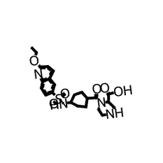 CCOc1ccc2cc(S(=O)(=O)NC3CCC(C(=O)N4CCNCC4C(=O)O)CC3)ccc2n1